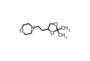 CC1(C)OCC(CCN2CCOCC2)O1